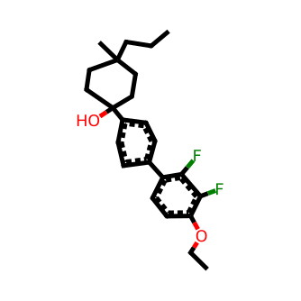 CCCC1(C)CCC(O)(c2ccc(-c3ccc(OCC)c(F)c3F)cc2)CC1